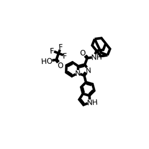 O=C(NC12CC3CC(CC(C3)C1)C2)c1nc(-c2ccc3[nH]ccc3c2)n2ccccc12.O=C(O)C(F)(F)F